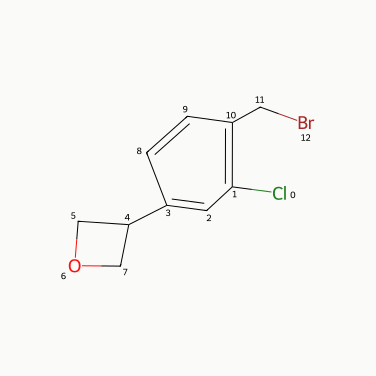 Clc1cc(C2COC2)ccc1CBr